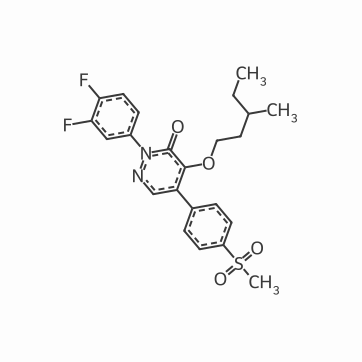 CCC(C)CCOc1c(-c2ccc(S(C)(=O)=O)cc2)cnn(-c2ccc(F)c(F)c2)c1=O